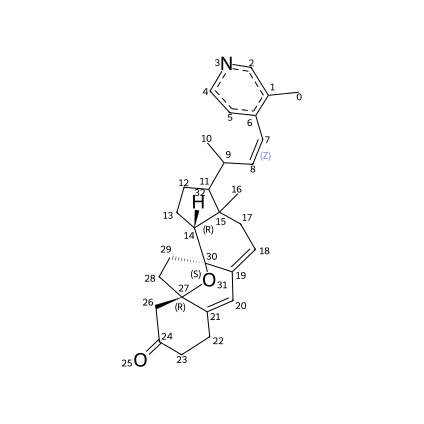 Cc1cnccc1/C=C\C(C)C1CC[C@@H]2C1(C)CC=C1C=C3CCC(=O)C[C@]34CC[C@@]12O4